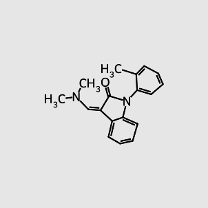 Cc1ccccc1N1C(=O)C(=CN(C)C)c2ccccc21